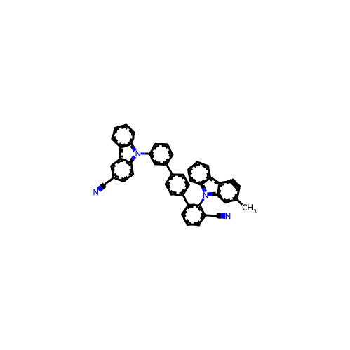 Cc1c#cc2c3ccccc3n(-c3c(C#N)cccc3-c3ccc(-c4cccc(-n5c6ccccc6c6cc(C#N)ccc65)c4)cc3)c2c1